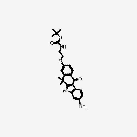 CC(C)(C)OC(=O)NCCOc1ccc2c(c1)C(C)(C)c1[nH]c3cc(N)ccc3c1C2=O